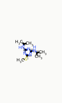 CSc1nc(NC(C)C)nc(NC(C)C)n1